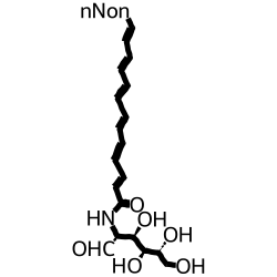 CCCCCCCCCC=CC=CC=CC=CC=CC=CC(=O)N[C@@H](C=O)[C@@H](O)[C@H](O)[C@H](O)CO